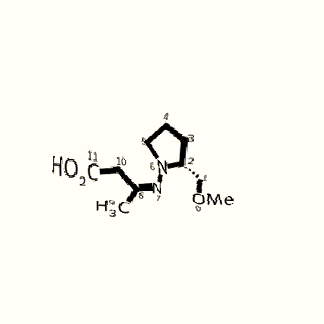 COC[C@H]1CCCN1/N=C(/C)CC(=O)O